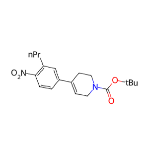 CCCc1cc(C2=CCN(C(=O)OC(C)(C)C)CC2)ccc1[N+](=O)[O-]